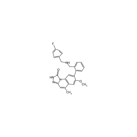 COc1cc2c(C)cc3n[nH]c(=O)n3c2cc1-c1ccccc1CNCc1ccc(F)cc1